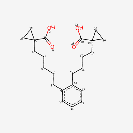 O=C(O)C1(CCCCCc2ccccc2CCCCC2(C(=O)O)CC2)CC1